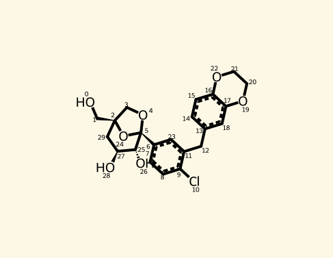 OC[C@@]12CO[C@@](c3ccc(Cl)c(Cc4ccc5c(c4)OCCO5)c3)(O1)[C@H](O)[C@@H](O)C2